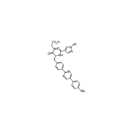 CC(C)n1cc(C(=O)N[C@@H](Cc2ccc(-c3ncc(-c4ccc(C(C)(C)C)cc4)cn3)cc2)C(=O)NCC(=O)O)cn1